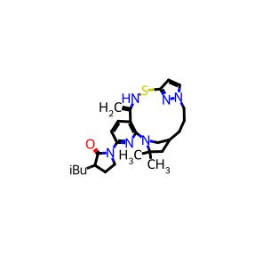 C=C1NSc2ccn(n2)CCCC2CN(c3nc(N4CCC(C(C)CC)C4=O)ccc31)C(C)(C)C2